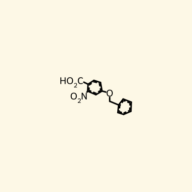 O=C(O)c1ccc(OCc2ccccc2)cc1[N+](=O)[O-]